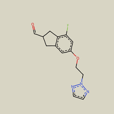 O=CC1Cc2cc(OCCn3nccn3)cc(F)c2C1